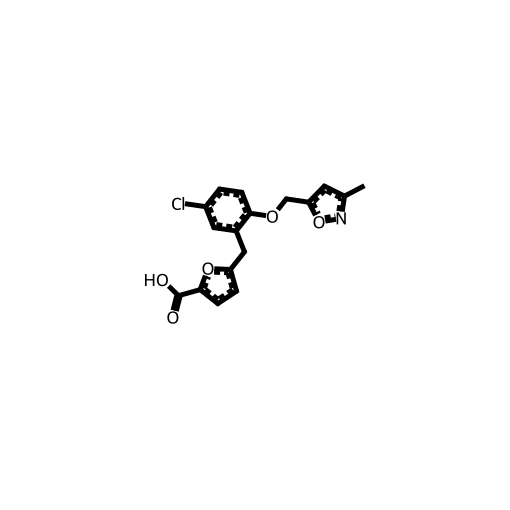 Cc1cc(COc2ccc(Cl)cc2Cc2ccc(C(=O)O)o2)on1